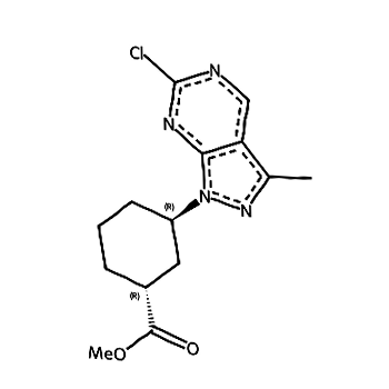 COC(=O)[C@@H]1CCC[C@@H](n2nc(C)c3cnc(Cl)nc32)C1